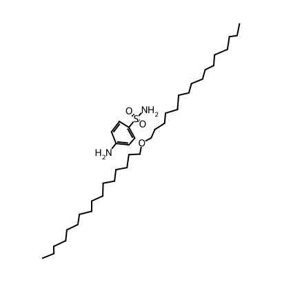 CCCCCCCCCCCCCCCCOCCCCCCCCCCCCCCCC.Nc1ccc(S(N)(=O)=O)cc1